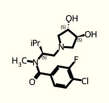 CC(C)[C@@H](CN1C[C@H](O)[C@@H](O)C1)N(C)C(=O)c1ccc(Cl)c(F)c1